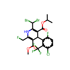 COC(=O)C1=C(CF)NC(C(Br)Br)=C(C(=O)OC(C)C)C1c1c(F)ccc(Cl)c1C(F)(F)F